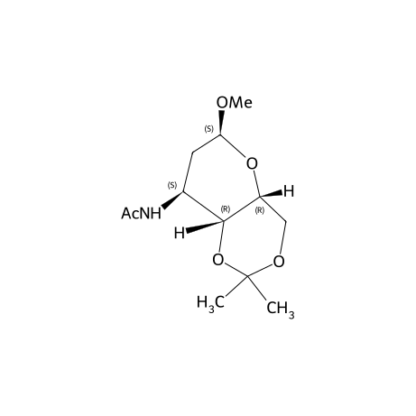 CO[C@@H]1C[C@H](NC(C)=O)[C@H]2OC(C)(C)OC[C@H]2O1